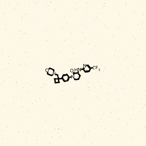 O=C1C(Nc2ccc(C(F)(F)F)cn2)CCCN1c1ccc(C2(CN3CCOCC3)CCC2)cc1